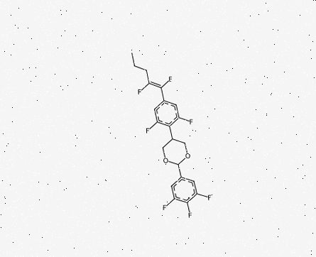 CCC/C(F)=C(\F)c1cc(F)c(C2COC(c3cc(F)c(F)c(F)c3)OC2)c(F)c1